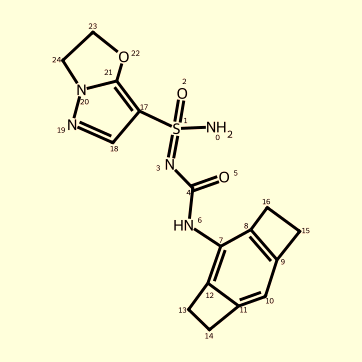 NS(=O)(=NC(=O)Nc1c2c(cc3c1CC3)CC2)c1cnn2c1OCC2